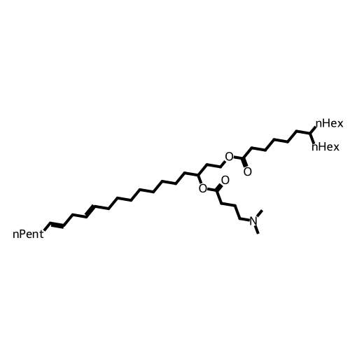 CCCCCC=CCC=CCCCCCCCCC(CCOC(=O)CCCCCC(CCCCCC)CCCCCC)OC(=O)CCCN(C)C